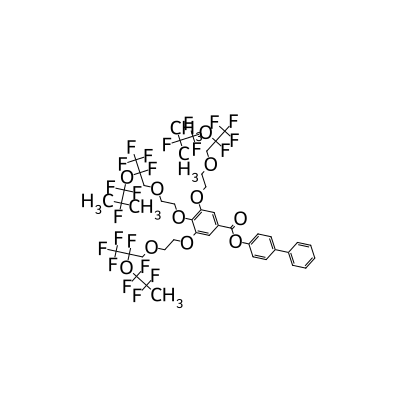 CC(C)(F)C(F)(F)OC(F)(COCCOc1cc(C(=O)Oc2ccc(-c3ccccc3)cc2)cc(OCCOCC(F)(OC(F)(F)C(C)(F)F)C(F)(F)F)c1OCCOCC(F)(OC(F)(F)C(C)(C)F)C(F)(F)F)C(F)(F)F